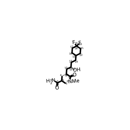 CNC(=O)[C@H](CC(C)C(N)=O)C[C@@H](O)[CH]CC1CCC(F)(F)CC1